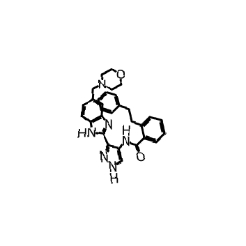 O=C(Nc1c[nH]nc1-c1nc2cc(CN3CCOCC3)ccc2[nH]1)c1ccccc1CCc1ccccc1